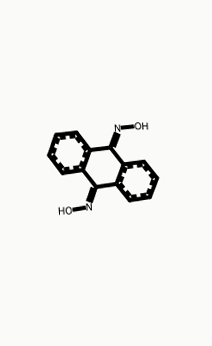 ON=C1c2ccccc2C(=NO)c2ccccc21